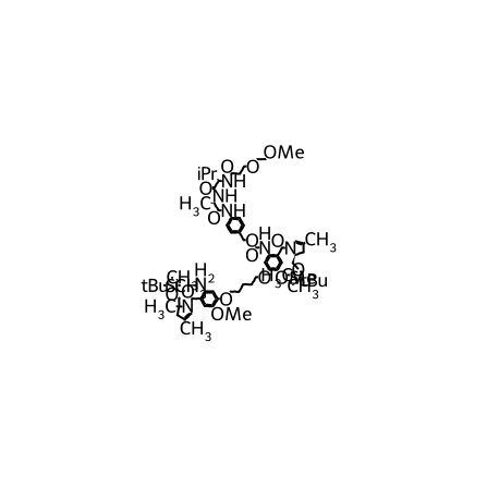 COCCOCCC(=O)N[C@H](C(=O)N[C@@H](C)C(=O)Nc1ccc(COC(=O)Nc2cc(OCCCCCOc3cc(N)c(C(=O)N4C=C(C)CC4(C)CO[Si](C)(C)C(C)(C)C)cc3OC)c(OC)cc2C(=O)N2C=C(C)C[C@H]2CO[Si](C)(C)C(C)(C)C)cc1)C(C)C